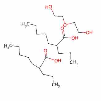 CCCCCC(CCC)C(=O)O.CCCCCC(CCC)C(=O)O.OCCOCCO